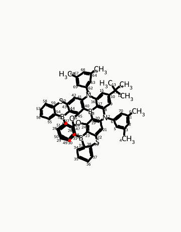 Cc1cc(C)cc(N2c3cc(C(C)(C)C)cc4c3B(c3c2cc2c5c3Oc3ccccc3B5c3ccccc3S2)c2c(cc3c5c2Oc2ccccc2B5c2ccccc2S3)N4c2cc(C)cc(C)c2)c1